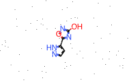 Oc1noc(-c2ccn[nH]2)n1